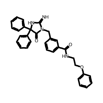 N=C1NC(c2ccccc2)(c2ccccc2)C(=O)N1Cc1cccc(C(=O)NCCOc2ccccc2)c1